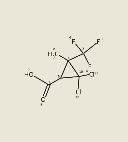 CC1(C(F)(F)F)C(C(=O)O)C1(Cl)Cl